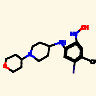 ONc1cc(C(F)(F)F)c(I)cc1NC1CCN(C2CCOCC2)CC1